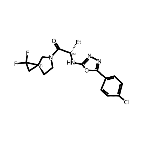 CC[C@H](Nc1nnc(-c2ccc(Cl)cc2)o1)C(=O)N1CC[C@@]2(C1)CC2(F)F